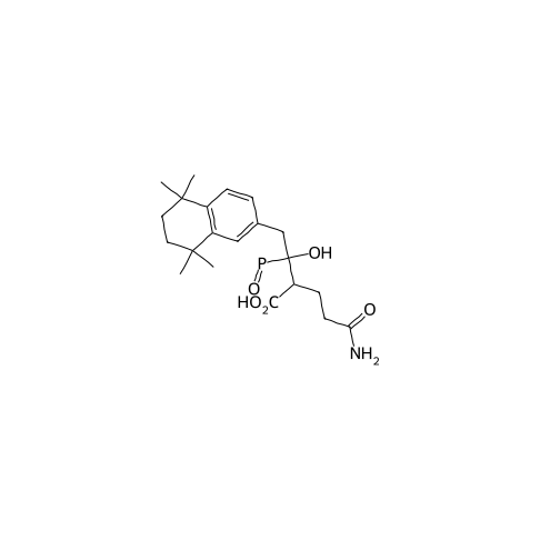 CC1(C)CCC(C)(C)c2cc(CC(O)(P=O)C(CCC(N)=O)C(=O)O)ccc21